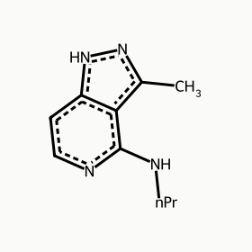 CCCNc1nccc2[nH]nc(C)c12